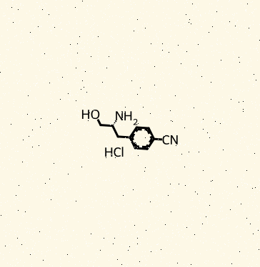 Cl.N#Cc1ccc(C[C@@H](N)CO)cc1